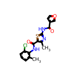 Cc1cccc(Cl)c1NC(=O)c1sc(NC(=O)c2ccoc2)nc1C